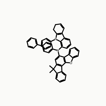 CC1(C)c2ccccc2-c2c1cc(N(c1ccc(-c3ccccc3)cc1)c1cccc3c4c(n(-c5ccccc5)c13)CCC=C4)c1c2oc2ccccc21